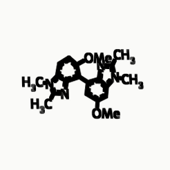 COc1cc(-c2c(OC)ccc3c2nc(C)n3C)c2nc(C)n(C)c2c1